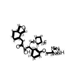 CN(C(=O)Cc1cccc2cocc12)[C@H](CN1CC[C@H](F)C1)c1cccc(OCc2nn[nH]n2)c1